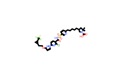 CC1(C)CC(CCCCCc2ccc(S(=O)(=O)NC(=O)c3ccc(-n4ccc(OCCC5CC5C(F)(F)F)n4)nc3Cl)cn2)CN1C(=O)O